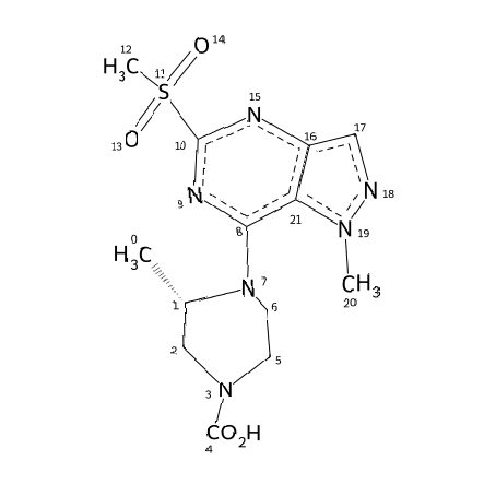 C[C@H]1CN(C(=O)O)CCN1c1nc(S(C)(=O)=O)nc2cnn(C)c12